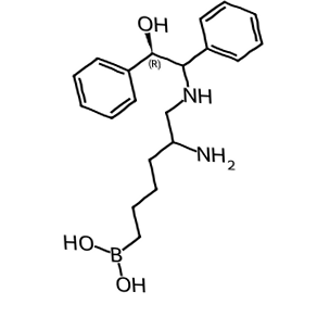 NC(CCCCB(O)O)CNC(c1ccccc1)[C@H](O)c1ccccc1